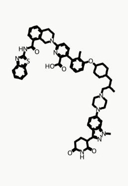 Cc1c(OC2CCC(CC(C)CN3CCN(c4ccc5c(C6CCC(=O)NC6=O)nn(C)c5c4)CC3)CC2)cccc1-c1ccc(N2CCc3cccc(C(=O)Nc4nc5ccccc5s4)c3C2)nc1C(=O)O